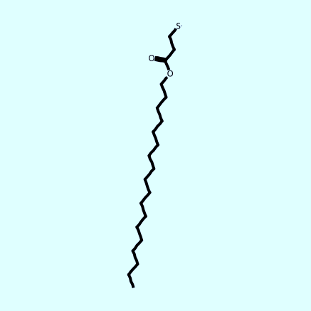 CCCCCCCCCCCCCCCCCCOC(=O)CC[S]